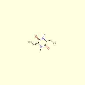 CC(C)/C=C1\C(=O)N(C)C(CC(C)C)C(=O)N1C